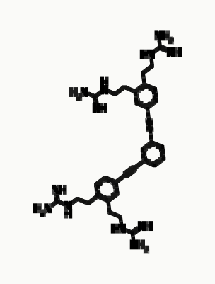 N=C(N)NCCc1ccc(C#Cc2cccc(C#Cc3ccc(CCNC(=N)N)c(CCNC(=N)N)c3)c2)cc1CCNC(=N)N